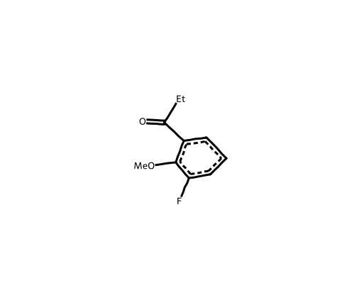 CCC(=O)c1cccc(F)c1OC